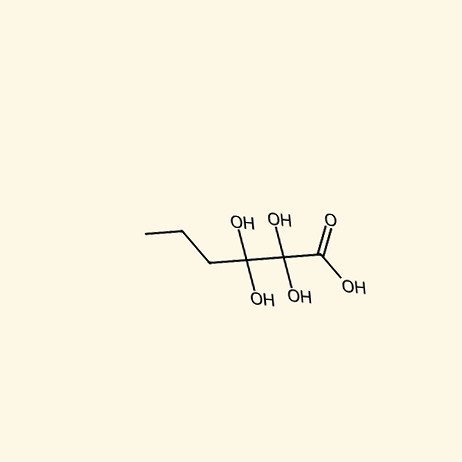 CCCC(O)(O)C(O)(O)C(=O)O